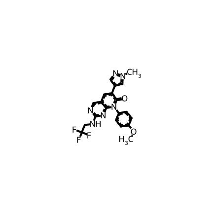 COc1ccc(-n2c(=O)c(-c3cnn(C)c3)cc3cnc(NCC(F)(F)F)nc32)cc1